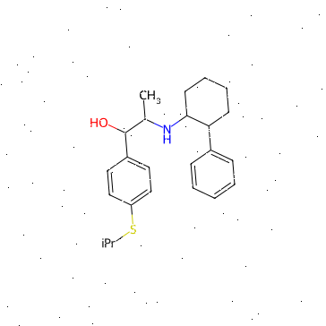 CC(C)Sc1ccc(C(O)C(C)NC2CCCCC2c2ccccc2)cc1